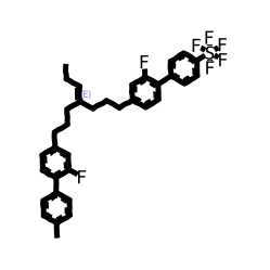 CC/C=C(\CCCc1ccc(-c2ccc(C)cc2)c(F)c1)CCCc1ccc(-c2ccc(S(F)(F)(F)(F)F)cc2)c(F)c1